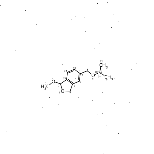 COC1OCc2cc(CO[SiH](C)C)ccc21